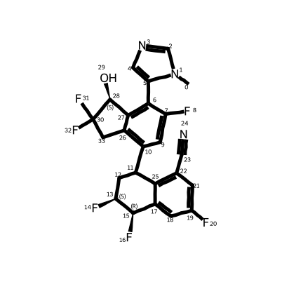 Cn1cncc1-c1c(F)cc(C2C[C@H](F)[C@H](F)c3cc(F)cc(C#N)c32)c2c1[C@H](O)C(F)(F)C2